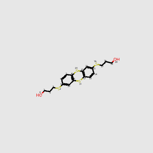 OCCCSc1ccc2c(c1)Sc1ccc(SCCCO)cc1S2